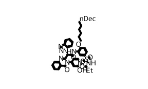 CCCCCCCCCCCCCCCCOc1ccc(S(=O)(=O)NC(=O)CC)cc1NC(=O)C(c1nc2ccccc2c(=O)n1-c1ccnc(O)c1)n1nnc2ccccc21